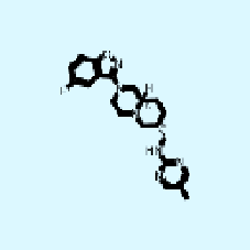 Cc1cnc(NC[C@H]2CC[C@H]3CN(c4noc5ccc(F)cc45)CCN3C2)nc1